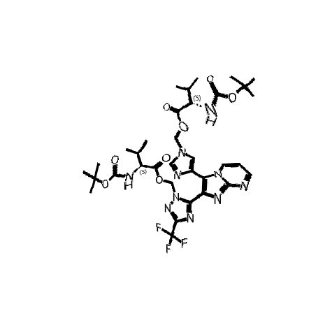 CC(C)[C@H](NC(=O)OC(C)(C)C)C(=O)OCn1cnc(-c2c(-c3nc(C(F)(F)F)nn3COC(=O)[C@@H](NC(=O)OC(C)(C)C)C(C)C)nc3ncccn23)c1